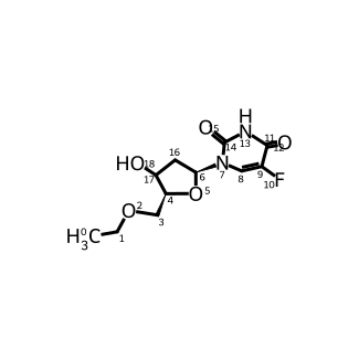 CCOC[C@@H]1O[C@H](n2cc(F)c(=O)[nH]c2=O)CC1O